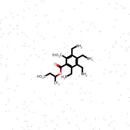 BCc1c(CB)c(CB)c(C(=O)OC(CS(=O)(=O)O)C(F)(F)F)c(C(=O)OCC)c1CB